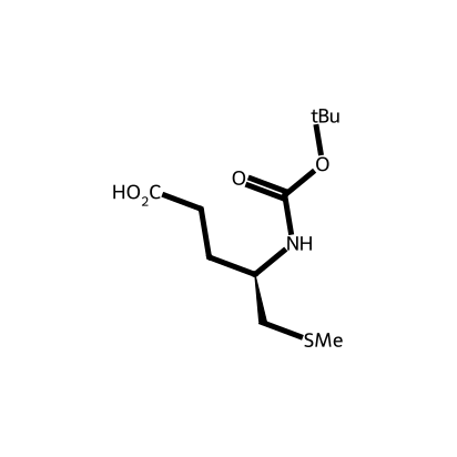 CSC[C@@H](CCC(=O)O)NC(=O)OC(C)(C)C